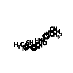 Cc1ncc(-c2ccc3cnc(NC(=O)C4CCN(CC(C)(C)C)CC4)cc3c2)n1C